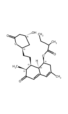 CCC(C)C(=O)O[C@H]1CC(C)=CC2=CC(=O)[C@@H](C)[C@@H](CC[C@@H]3C[C@@H](O)CC(=O)O3)[C@H]21